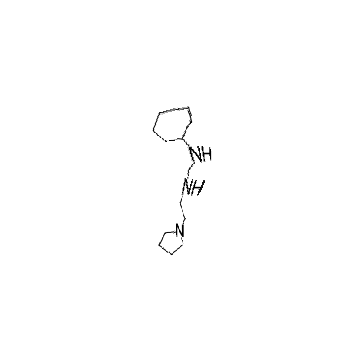 C1CCC(NCNCCN2CCCC2)CC1